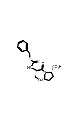 CC(=O)OC[C@H](NC(=O)OCc1ccccc1)C(=O)N1CCC[C@H]1C(=O)O